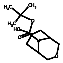 CC(C)(C)OC(=O)N1C2COCC1CC(O)C2